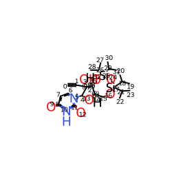 C#C[C@]1(O)C(n2ccc(=O)[nH]c2=O)O[C@@H]2CO[Si](C(C)C)(C(C)C)O[Si](C(C)C)(C(C)C)O[C@H]21